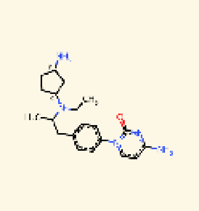 CCN(C(C)Cc1ccc(-n2ccc(N)nc2=O)cc1)[C@H]1CC[C@@H](N)C1